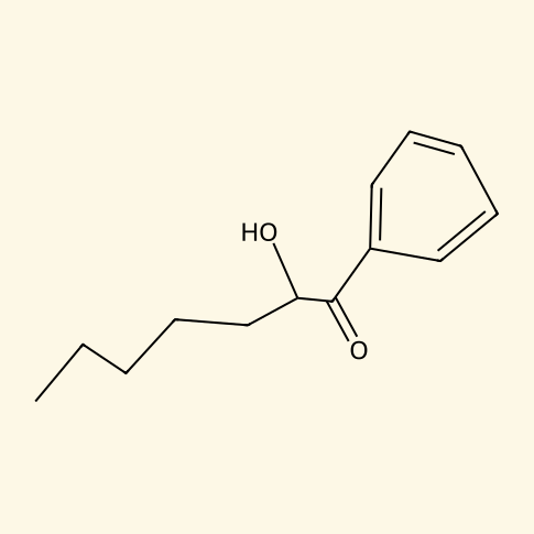 CCCCCC(O)C(=O)c1ccccc1